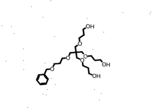 OCCCOCC(COCCCO)(COCCCO)COCCCOCc1ccccc1